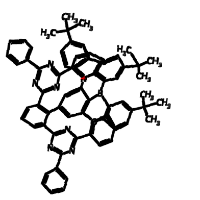 CC(C)(C)c1ccc2c(c1)B1c3c(cc(-c4c(-c5nc(-c6ccccc6)nc(-c6ccccc6)n5)cccc4-c4nc(-c5ccccc5)nc(-c5ccccc5)n4)cc3-n3c4ccc(C(C)(C)C)cc4c4cc(C(C)(C)C)cc1c43)O2